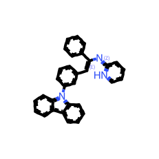 C(=C(\N=c1\cccc[nH]1)c1ccccc1)/c1cccc(-n2c3ccccc3c3ccccc32)c1